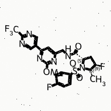 COc1nc(CNC(=O)[C@@H]2C[C@@H](F)[C@H](C)N2S(=O)(=O)c2ccc(F)cc2)cc(-c2cnc(C(F)(F)F)nc2)n1